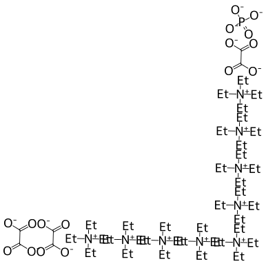 CC[N+](CC)(CC)CC.CC[N+](CC)(CC)CC.CC[N+](CC)(CC)CC.CC[N+](CC)(CC)CC.CC[N+](CC)(CC)CC.CC[N+](CC)(CC)CC.CC[N+](CC)(CC)CC.CC[N+](CC)(CC)CC.CC[N+](CC)(CC)CC.O=C([O-])C(=O)[O-].O=C([O-])C(=O)[O-].O=C([O-])C(=O)[O-].O=P([O-])([O-])[O-]